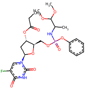 CCC(=O)O[C@H]1C[C@H](n2cc(F)c(=O)[nH]c2=O)O[C@@H]1COP(=O)(NC(C)C(OC)OC)Oc1ccccc1